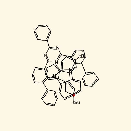 CC(C)(C)c1ccc2c(c1)c1ccccc1n2-c1c(-c2ccccc2)cccc1-c1nc(-c2ccccc2)nc(-c2cccc(-c3ccccc3)c2-n2c3ccccc3c3cc(C(C)(C)C)ccc32)n1